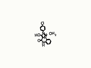 O.O=C1Nc2ccccc2N2[N]N(c3ccc(Cl)cc3)C(O)=C12